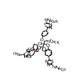 CCCCCCCCCc1nnc(-c2ccc(OC(CCCCCCCC)C(Oc3ccc(-c4nnc(CCCCCCCCC)s4)cc3)(Oc3ccc(-c4nnc(CCCCCCCCC)s4)cc3)C(=O)OCC(O)CO)cc2)s1